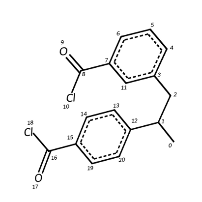 CC(Cc1cccc(C(=O)Cl)c1)c1ccc(C(=O)Cl)cc1